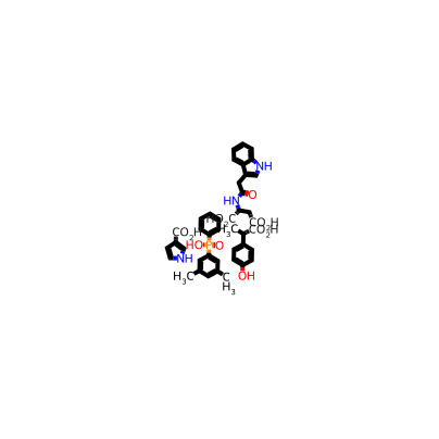 CC(C(=O)O)c1ccc(O)cc1.Cc1cc(C)cc(P(=O)(O)c2ccccc2)c1.O=C(O)CC(NC(=O)Cc1c[nH]c2ccccc12)C(=O)O.O=C(O)c1cc[nH]c1